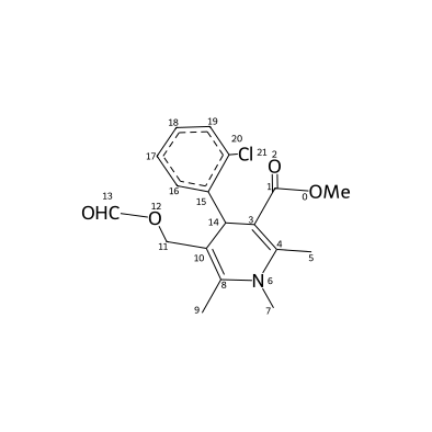 COC(=O)C1=C(C)N(C)C(C)=C(COC=O)C1c1ccccc1Cl